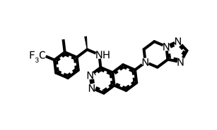 Cc1c([C@@H](C)Nc2nncc3ccc(N4CCn5ncnc5C4)cc23)cccc1C(F)(F)F